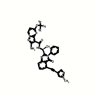 [2H]C([2H])([2H])Oc1ccn2nc(N)c(C(=O)N[C@@H](C)c3nc4cccc(C#Cc5cnn(C)c5)c4c(=O)n3-c3ccccc3)c2n1